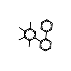 Cc1cc(-c2ccccc2-c2ccccc2)c(C)c(C)c1C